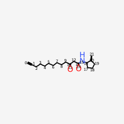 C#CCCCCCCCCC(=O)CC(=O)NC1CCCC1=C